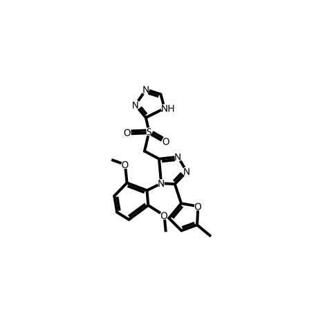 COc1cccc(OC)c1-n1c(CS(=O)(=O)c2nnc[nH]2)nnc1-c1ccc(C)o1